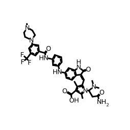 Cc1c(C(=O)O)c(C)n(C(CC(N)=O)N(C)C)c1C=C1C(=O)Nc2cc(Nc3cccc(NC(=O)c4cc(N5CCN(C)CC5)cc(C(F)(F)F)c4)c3)ccc21